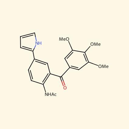 COc1cc(C(=O)c2cc(-c3ccc[nH]3)ccc2NC(C)=O)cc(OC)c1OC